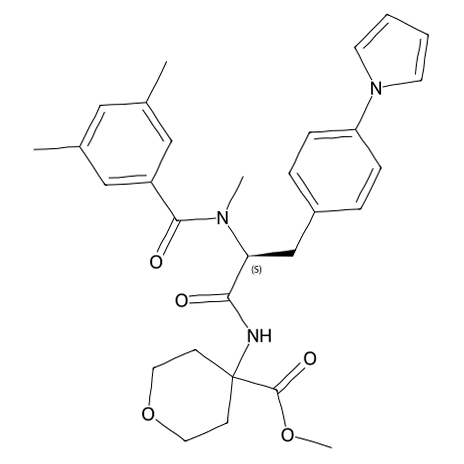 COC(=O)C1(NC(=O)[C@H](Cc2ccc(-n3cccc3)cc2)N(C)C(=O)c2cc(C)cc(C)c2)CCOCC1